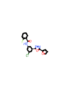 O=C(Nc1cc(Cl)cc(-c2nnc(-c3ccco3)o2)c1)c1ccccc1F